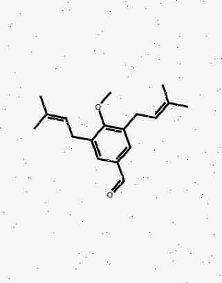 COc1c(CC=C(C)C)cc(C=O)cc1CC=C(C)C